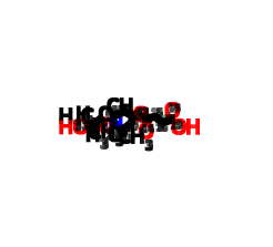 CC(C)(O)CON1C(C)(C)CC(OC(=O)CCC(=O)O)CC1(C)C